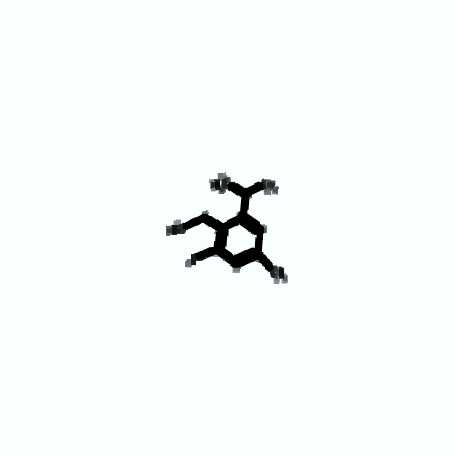 Cc1cc(F)c(CO)c(C(C)C)c1